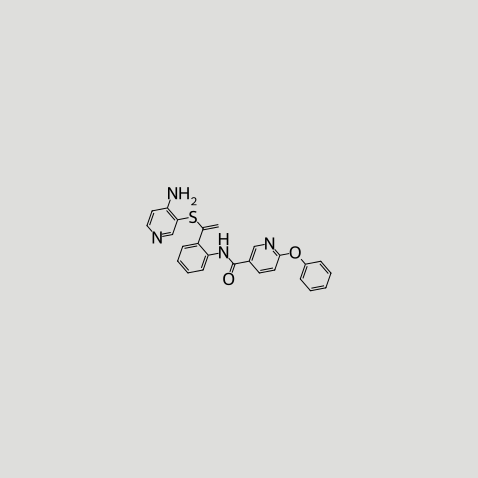 C=C(Sc1cnccc1N)c1ccccc1NC(=O)c1ccc(Oc2ccccc2)nc1